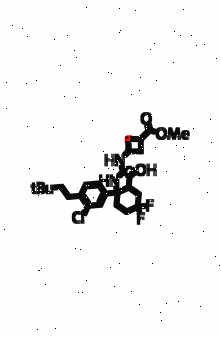 COC(=O)C12CC(NC(=O)NC3(c4ccc(CCC(C)(C)C)c(Cl)c4)CCC(F)(F)CC3CO)(C1)C2